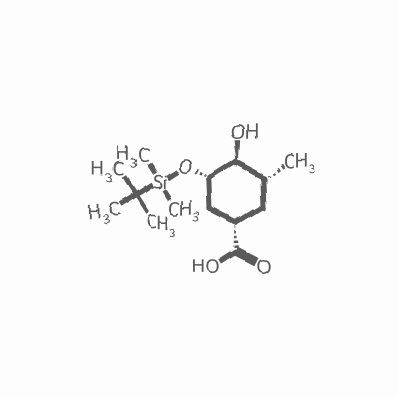 C[C@@H]1C[C@H](C(=O)O)C[C@H](O[Si](C)(C)C(C)(C)C)[C@H]1O